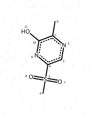 Cc1ncc(S(C)(=O)=O)nc1O